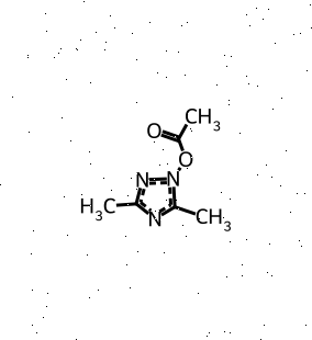 CC(=O)On1nc(C)nc1C